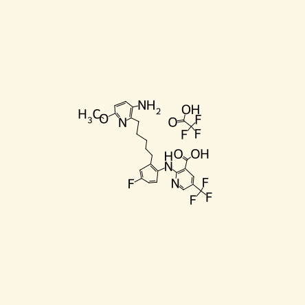 COc1ccc(N)c(CCCCCc2cc(F)ccc2Nc2ncc(C(F)(F)F)cc2C(=O)O)n1.O=C(O)C(F)(F)F